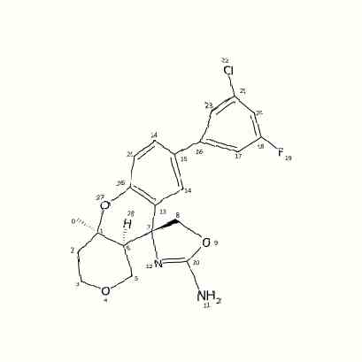 C[C@@]12CCOC[C@@H]1[C@]1(COC(N)=N1)c1cc(-c3cc(F)cc(Cl)c3)ccc1O2